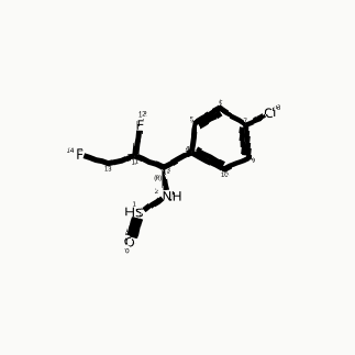 O=[SH]N[C@H](c1ccc(Cl)cc1)C(F)CF